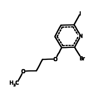 COCCOc1ccc(I)nc1Br